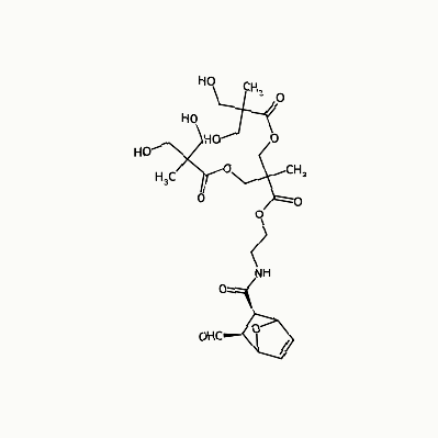 CC(CO)(CO)C(=O)OCC(C)(COC(=O)C(C)(CO)CO)C(=O)OCCNC(=O)[C@H]1C2C=CC(O2)[C@H]1C=O